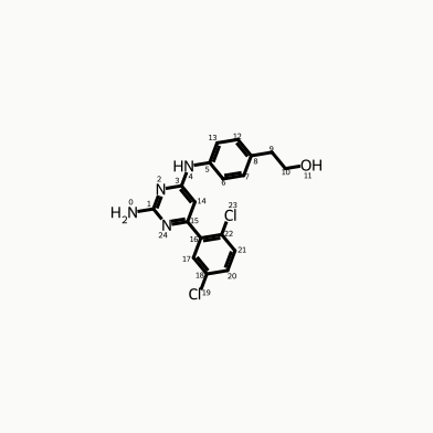 Nc1nc(Nc2ccc(CCO)cc2)cc(-c2cc(Cl)ccc2Cl)n1